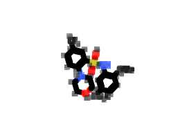 COc1ccc(C(=O)O)cc1NS(=O)(=O)c1cc(C(F)(F)F)ccc1N1CCOCC1